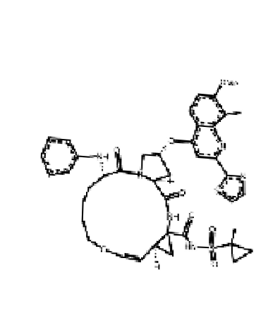 COc1ccc2c(O[C@@H]3C[C@H]4C(=O)N[C@]5(C(=O)NS(=O)(=O)C6(C)CC6)C[C@H]5/C=C\CCCCC[C@H](Nc5ccccc5)C(=O)N4C3)cc(-c3nccs3)nc2c1C